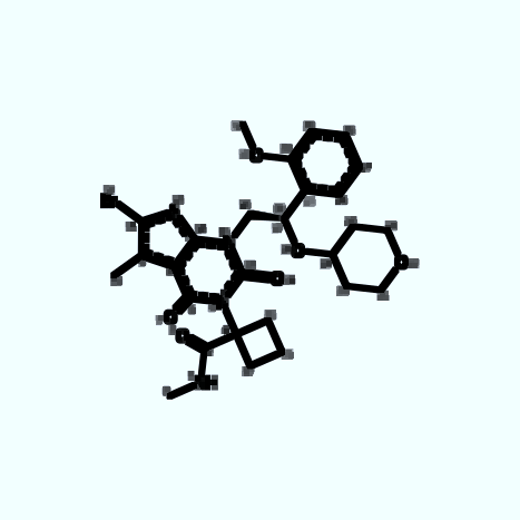 CNC(=O)C1(n2c(=O)c3c(C)c(Br)sc3n(C[C@H](OC3CCOCC3)c3ccccc3OC)c2=O)CCC1